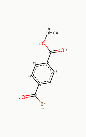 CCCCCCOC(=O)c1ccc(C(=O)Br)cc1